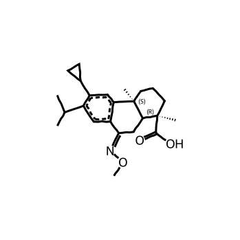 CON=C1CC2[C@](C)(C(=O)O)CCC[C@]2(C)c2cc(C3CC3)c(C(C)C)cc21